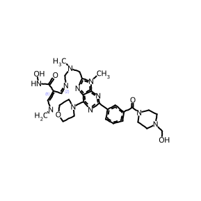 C=N/C=C(\C=N/CN(C)Cc1nc2c(N3CCOCC3)nc(-c3cccc(C(=O)N4CCN(CO)CC4)c3)nc2n1C)C(=O)NO